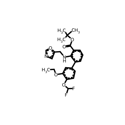 CCOc1cc(-c2cccc(C(=O)OC(C)(C)C)c2NCc2cnco2)ccc1OC(F)F